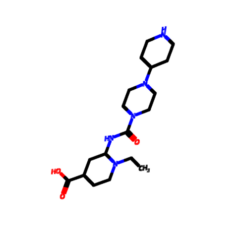 CCN1CCC(C(=O)O)CC1NC(=O)N1CCN(C2CCNCC2)CC1